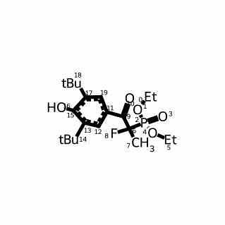 CCOP(=O)(OCC)C(C)(F)C(=O)c1cc(C(C)(C)C)c(O)c(C(C)(C)C)c1